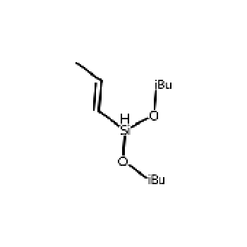 CC=C[SiH](OC(C)CC)OC(C)CC